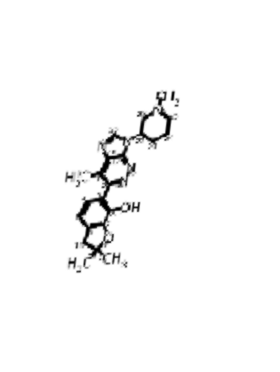 Cc1c(-c2ccc3c(c2O)OC(C)(C)C3)nnc2c1ncn2[C@@H]1CCCN(C)C1